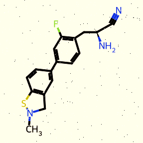 CN1Cc2cc(-c3ccc(C[C@H](N)C#N)c(F)c3)ccc2S1